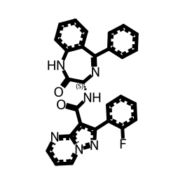 O=C(N[C@H]1N=C(c2ccccc2)c2ccccc2NC1=O)c1c(-c2ccccc2F)nn2cccnc12